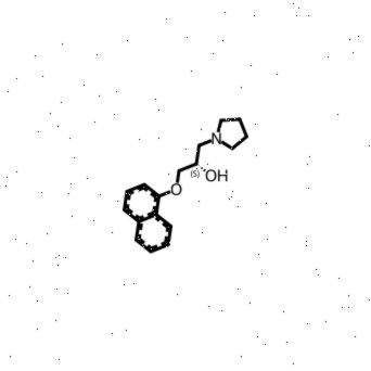 O[C@H](COc1cccc2ccccc12)CN1CCCC1